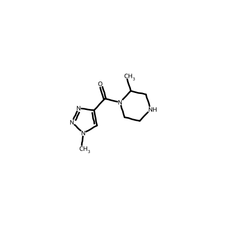 CC1CNCCN1C(=O)c1cn(C)nn1